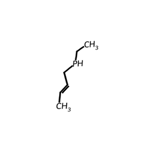 CC=CCPCC